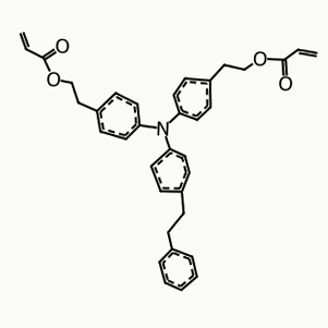 C=CC(=O)OCCc1ccc(N(c2ccc(CCOC(=O)C=C)cc2)c2ccc(CCc3ccccc3)cc2)cc1